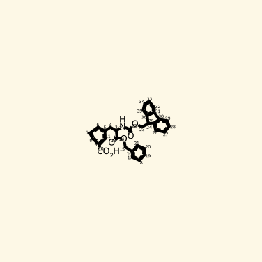 O=C(NC(Cc1cccc(C(=O)O)c1)C(=O)OCc1ccccc1)OCC1c2ccccc2-c2ccccc21